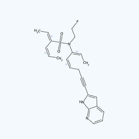 C/C=C\C(=C/C)S(=O)(=O)N(CCF)C(/C=C\CC#Cc1cc2cccnc2[nH]1)=C/C